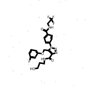 O=C(NCC(F)(F)F)c1ccc(-n2nnc(C(=O)NCCCO)c2COc2cccc(F)c2)cc1